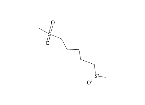 C[S+]([O-])CCCCCS(C)(=O)=O